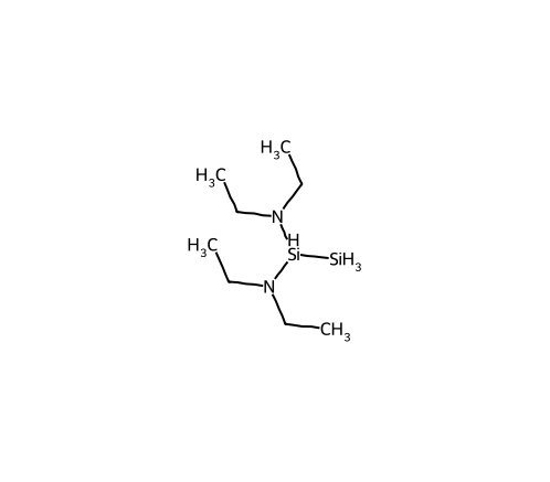 CCN(CC)[SiH]([SiH3])N(CC)CC